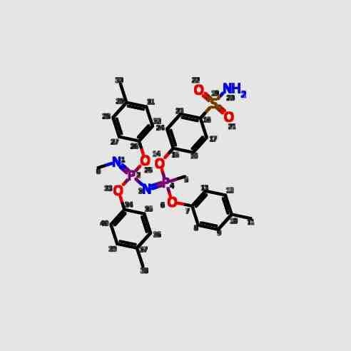 CN=P(N=P(C)(Oc1ccc(C)cc1)Oc1ccc(S(N)(=O)=O)cc1)(Oc1ccc(C)cc1)Oc1ccc(C)cc1